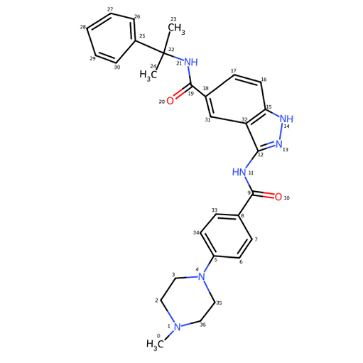 CN1CCN(c2ccc(C(=O)Nc3n[nH]c4ccc(C(=O)NC(C)(C)c5ccccc5)cc34)cc2)CC1